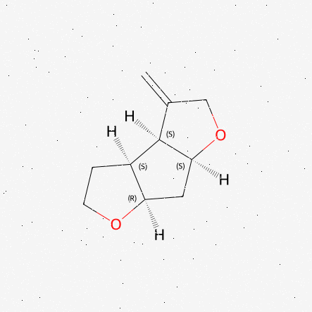 C=C1CO[C@H]2C[C@H]3OCC[C@H]3[C@@H]12